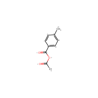 CCC(=O)OC(=O)c1ccc(C)cc1